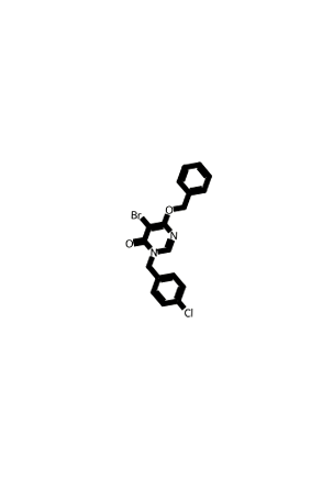 O=c1c(Br)c(OCc2ccccc2)ncn1Cc1ccc(Cl)cc1